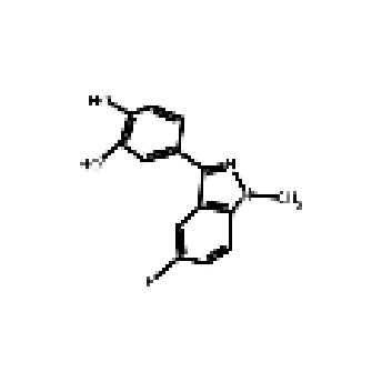 Cn1nc(-c2ccc(O)c(O)c2)c2cc(F)ccc21